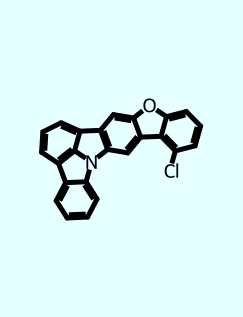 Clc1cccc2oc3cc4c5cccc6c7ccccc7n(c4cc3c12)c65